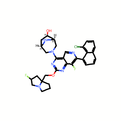 O[C@@H]1C[C@@H]2CN(c3nc(OCC45CCCN4CC(F)C5)nc4c(F)c(-c5cccc6cccc(Cl)c56)ncc34)C[C@H]1N2